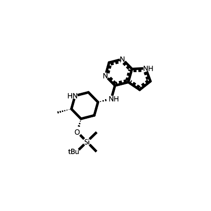 C[C@@H]1NC[C@H](Nc2ncnc3[nH]ccc23)C[C@@H]1O[Si](C)(C)C(C)(C)C